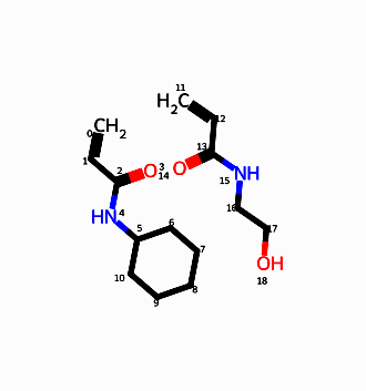 C=CC(=O)NC1CCCCC1.C=CC(=O)NCCO